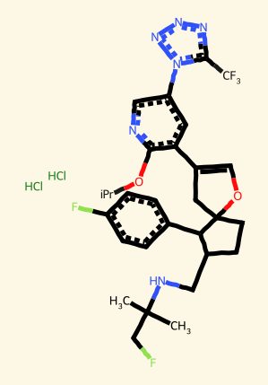 CC(C)Oc1ncc(-n2nnnc2C(F)(F)F)cc1C1=COC2(CCC(CNC(C)(C)CF)C2c2ccc(F)cc2)C1.Cl.Cl